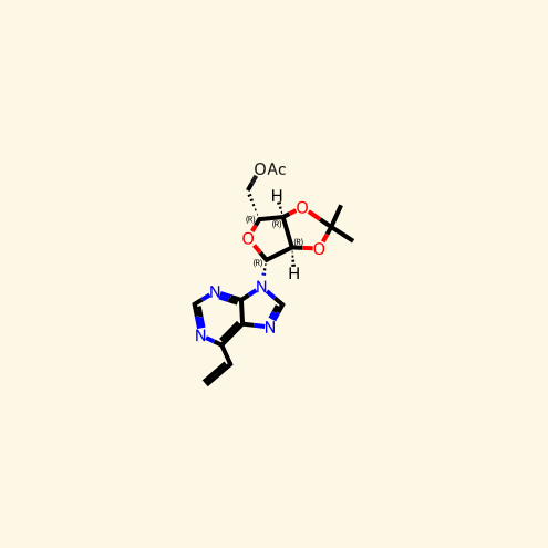 C=Cc1ncnc2c1ncn2[C@@H]1O[C@H](COC(C)=O)[C@H]2OC(C)(C)O[C@H]21